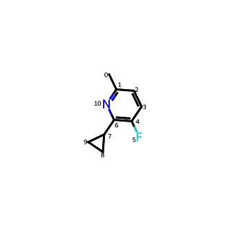 Cc1ccc(F)c(C2CC2)n1